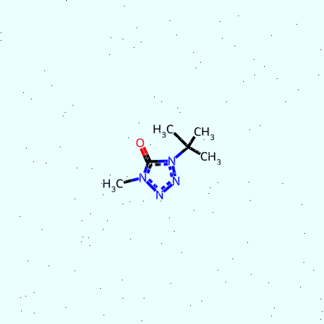 Cn1nnn(C(C)(C)C)c1=O